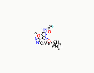 COc1ncnc(OC2CC2)c1-c1cn(COCC[Si](C)(C)C)c2nc(NC(=O)[C@@H]3C[C@@H]3F)ccc12